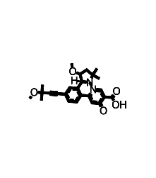 COC1CC(C)(C)N2[C@@H]1c1cc(C#CC(C)(C)OC)ccc1-c1cc(=O)c(C(=O)O)cn12